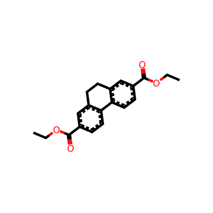 CCOC(=O)c1ccc2c(c1)CCc1cc(C(=O)OCC)ccc1-2